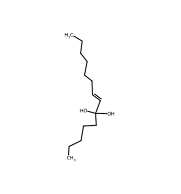 CCCCCCC=CC(O)(O)CCCCC